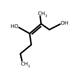 CCCC(O)=C(C)CO